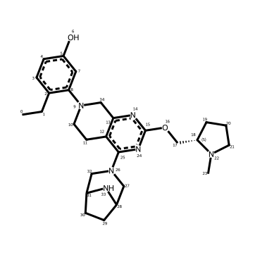 CCc1ccc(O)cc1N1CCc2c(nc(OC[C@@H]3CCCN3C)nc2N2CC3CCC(C2)N3)C1